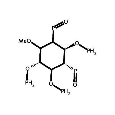 COC1C(P=O)[C@@H](OP)[C@H](P=O)C(OP)[C@@H]1OP